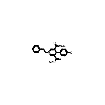 COC(=O)C1=CN(CCc2ccccc2)C=C(C(=O)OC)C1c1ccc(Cl)cc1